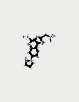 CC(=O)N(C)Cc1nc2c(N)nc3cc(-n4cccn4)ccc3c2[nH]1